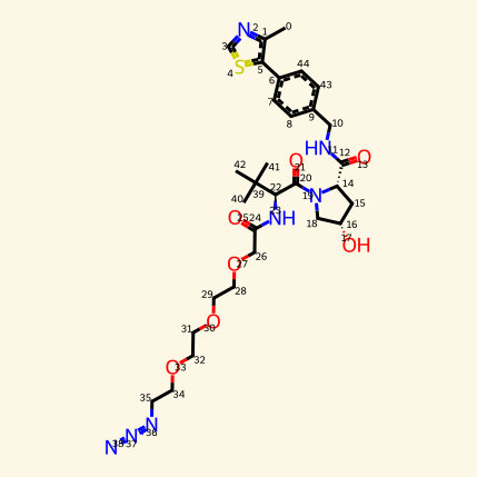 Cc1ncsc1-c1ccc(CNC(=O)[C@@H]2C[C@H](O)CN2C(=O)[C@@H](NC(=O)COCCOCCOCCN=[N+]=[N-])C(C)(C)C)cc1